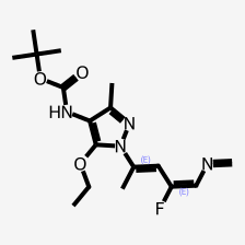 C=N/C=C(F)\C=C(/C)n1nc(C)c(NC(=O)OC(C)(C)C)c1OCC